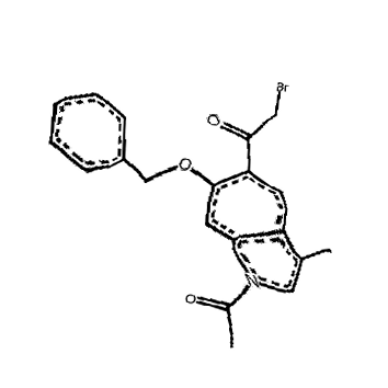 CC(=O)n1cc(C)c2cc(C(=O)CBr)c(OCc3ccccc3)cc21